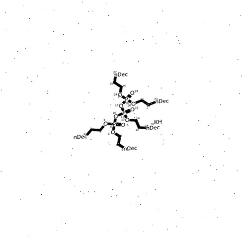 CCCCCCCCCCCCOP(=O)(OCCCCCCCCCCCC)OP(=O)(OCCCCCCCCCCCC)OP(=O)(OCCCCCCCCCCCC)OCCCCCCCCCCCC.[KH]